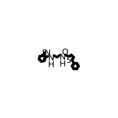 O=C(NCCCNc1nsc2ccccc12)c1ccc(-c2ccccc2)s1